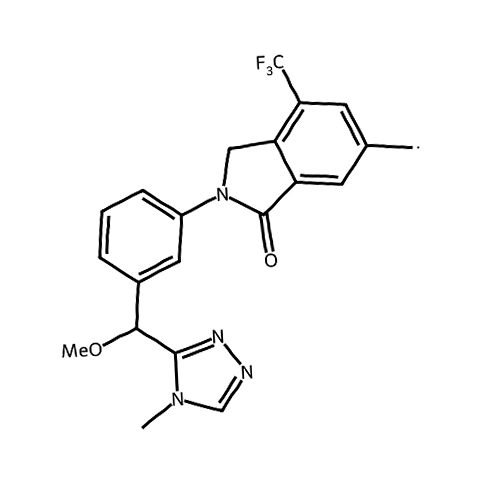 [CH2]c1cc2c(c(C(F)(F)F)c1)CN(c1cccc(C(OC)c3nncn3C)c1)C2=O